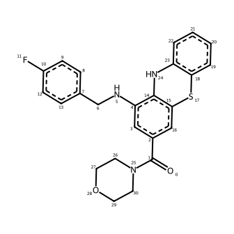 O=C(c1cc(NCc2ccc(F)cc2)c2c(c1)Sc1ccccc1N2)N1CCOCC1